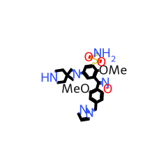 COc1c(-c2noc3cc(Cn4cccn4)cc(OC)c23)cc(N2CC3(CCNCC3)C2)cc1S(N)(=O)=O